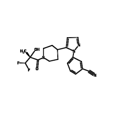 C[C@@](O)(C(=O)N1CCC(c2ccnn2-c2cccc(C#N)c2)CC1)C(F)F